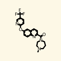 CN1CCCN(C(=O)c2ccc3cc(Oc4ccc(C(F)(F)F)cn4)ccc3n2)CC1